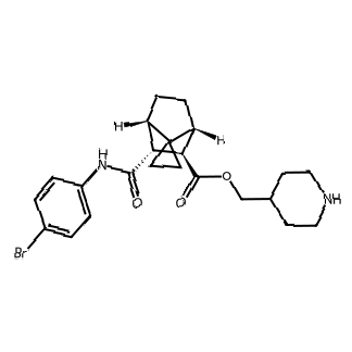 O=C(OCC1CCNCC1)[C@H]1[C@H](C(=O)Nc2ccc(Br)cc2)[C@@H]2CC[C@H]1C21CC1